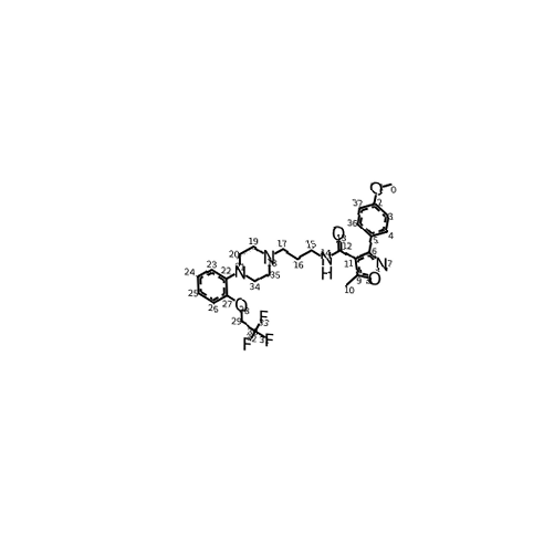 COc1ccc(-c2noc(C)c2C(=O)NCCCN2CCN(c3ccccc3OCC(F)(F)F)CC2)cc1